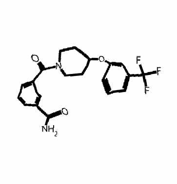 NC(=O)c1cccc(C(=O)N2CCC(Oc3cccc(C(F)(F)F)c3)CC2)c1